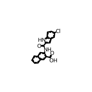 O=C(Nc1cc2ccccc2cc1C(=O)O)c1cc2cc(Cl)ccc2[nH]1